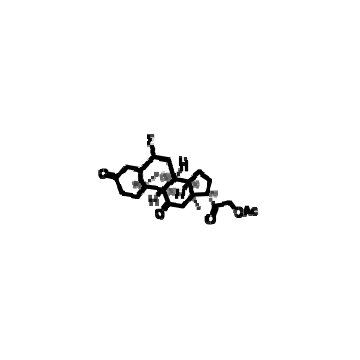 CC(=O)OCC(=O)[C@H]1CC[C@H]2[C@@H]3CC(F)C4CC(=O)CC[C@]4(C)[C@H]3C(=O)C[C@]12C